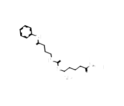 CCCC[C@@H](CCCC(=O)NO)NC(=S)NCCCC(=O)Nc1ccccc1